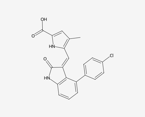 Cc1cc(C(=O)O)[nH]c1C=C1C(=O)Nc2cccc(-c3ccc(Cl)cc3)c21